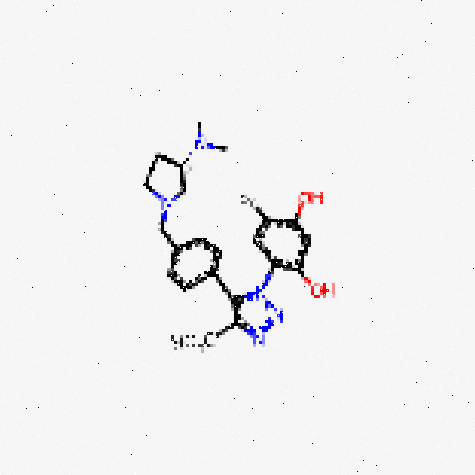 CC(C)c1cc(-n2nnc(C(=O)O)c2-c2ccc(CN3CC[C@H](N(C)C)C3)cc2)c(O)cc1O